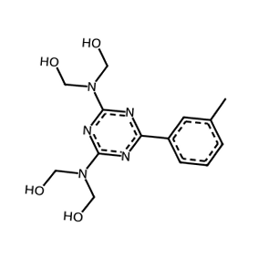 Cc1cccc(-c2nc(N(CO)CO)nc(N(CO)CO)n2)c1